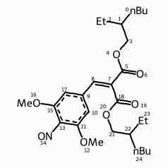 CCCCC(CC)COC(=O)C(=Cc1cc(OC)c(N=O)c(OC)c1)C(=O)OCC(CC)CCCC